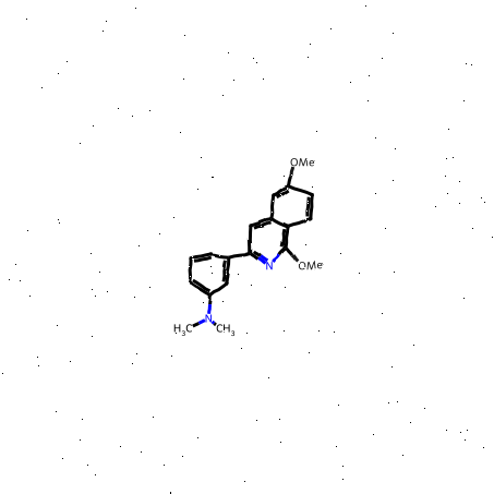 COc1ccc2c(OC)nc(-c3cccc(N(C)C)c3)cc2c1